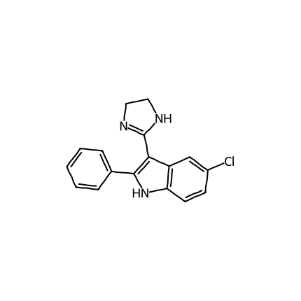 Clc1ccc2[nH]c(-c3ccccc3)c(C3=NCCN3)c2c1